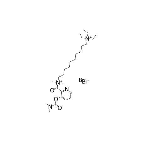 CC[N+](CC)(CC)CCCCCCCCCC[N+](C)(C)C(=O)c1ncccc1OC(=O)N(C)C.[Br-].[Br-]